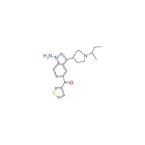 CCC(C)N1CCC(c2cn(N)c3ccc(C(=O)c4ccsc4)cc23)CC1